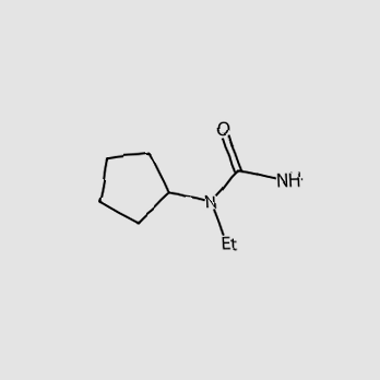 CCN(C([NH])=O)C1CCCC1